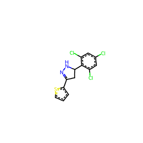 Clc1cc(Cl)c(C2CC(c3cccs3)=NN2)c(Cl)c1